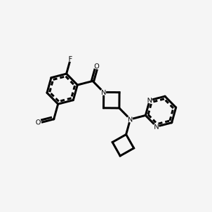 O=Cc1ccc(F)c(C(=O)N2CC(N(c3ncccn3)C3CCC3)C2)c1